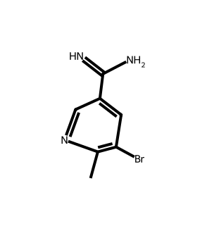 Cc1ncc(C(=N)N)cc1Br